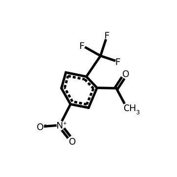 CC(=O)c1cc([N+](=O)[O-])ccc1C(F)(F)F